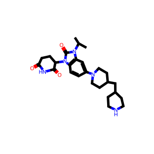 CC(C)n1c(=O)n(C2CCC(=O)NC2=O)c2ccc(N3CCC(CC4CCNCC4)CC3)cc21